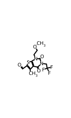 COCCn1c(=O)n(CC(F)(F)F)c(=O)c2c(C)c(C=O)sc21